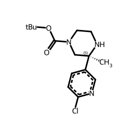 CC(C)(C)OC(=O)N1CCN[C@@](C)(c2ccc(Cl)nc2)C1